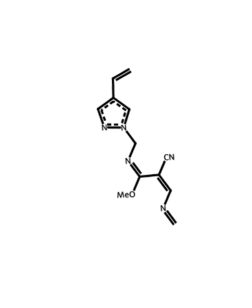 C=Cc1cnn(C/N=C(OC)\C(C#N)=C/N=C)c1